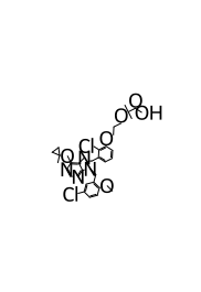 COc1ccc(Cl)cc1Cn1c(-c2cccc(OCCCOC(C)(C)C(=O)O)c2Cl)nc2c(OC3(C)CC3)ncnc21